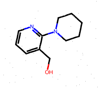 OCc1cccnc1N1CCCCC1